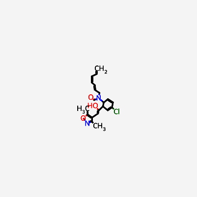 C=C/C=C\C=C\CN(C=O)C1C=CC(Cl)=CC1/C(O)=C/c1c(C)noc1C